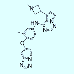 Cc1cc(Nc2ncnn3ccc(C4CN(C)C4)c23)ccc1Oc1ccn2ncnc2c1